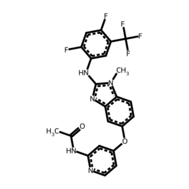 CC(=O)Nc1cc(Oc2ccc3c(c2)nc(Nc2cc(C(F)(F)F)c(F)cc2F)n3C)ccn1